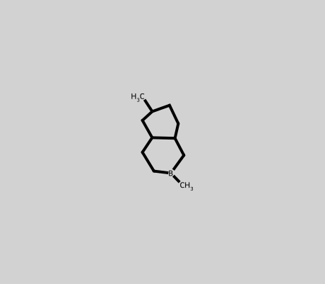 CB1CCC2CC(C)CCC2C1